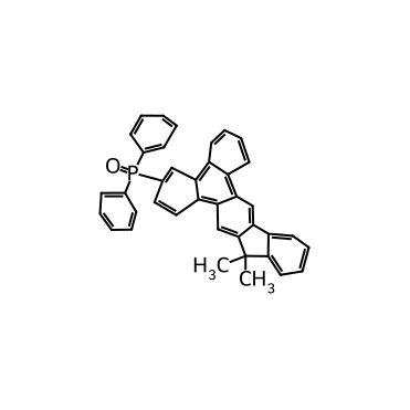 CC1(C)c2ccccc2-c2cc3c4ccccc4c4cc(P(=O)(c5ccccc5)c5ccccc5)ccc4c3cc21